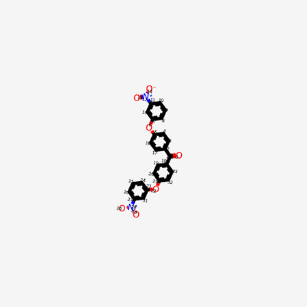 O=C(c1ccc(Oc2cccc([N+](=O)[O-])c2)cc1)c1ccc(Oc2cccc([N+](=O)[O-])c2)cc1